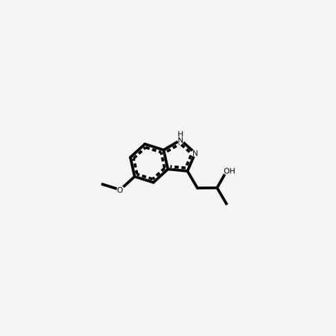 COc1ccc2[nH]nc(CC(C)O)c2c1